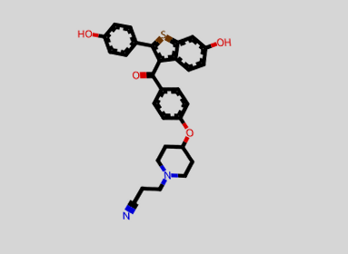 N#CCCN1CCC(Oc2ccc(C(=O)c3c(-c4ccc(O)cc4)sc4cc(O)ccc34)cc2)CC1